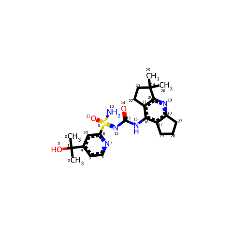 CC(C)(O)c1ccnc(S(N)(=O)=NC(=O)Nc2c3c(nc4c2CCC4(C)C)CCC3)c1